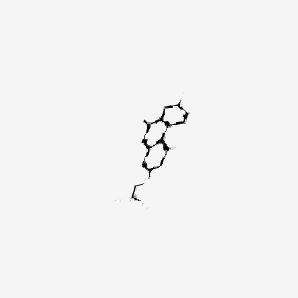 CCCCCCCCc1ccc2c(c1)c(F)cc1cc(OC[C@H](F)CCCCCC)ccc12